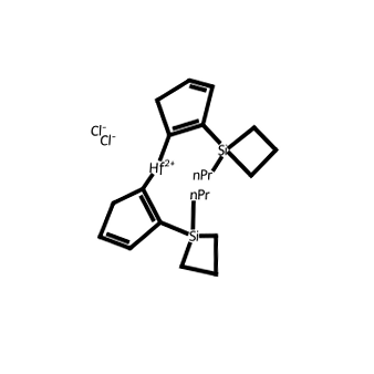 CCC[Si]1(C2=[C]([Hf+2][C]3=C([Si]4(CCC)CCC4)C=CC3)CC=C2)CCC1.[Cl-].[Cl-]